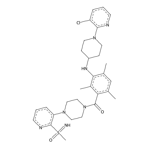 Cc1cc(C)c(C(=O)N2CCN(c3cccnc3S(C)(=N)=O)CC2)c(C)c1NC1CCN(c2ncccc2Cl)CC1